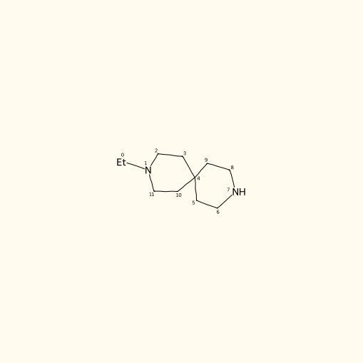 CCN1CCC2(CCNCC2)CC1